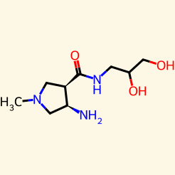 CN1C[C@H](N)[C@H](C(=O)NCC(O)CO)C1